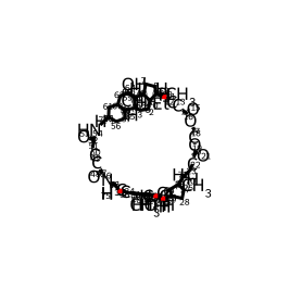 CC[C@]12CC[C@H]3[C@@H]4[C@H]1CC[C@@H]2[C@H](C)CCC(=O)OCCOC(=O)CC[C@@H](C)[C@H]1CC[C@H]2[C@@H]5[C@@H](O)CC6C[C@@H](CC[C@]6(C)[C@H]5CC[C@]12C)NC(=O)CCCC(=O)N[C@@H]1CC[C@@]3(C)C(C1)C[C@@H]4O